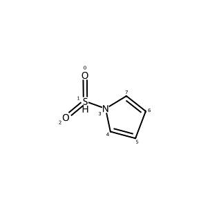 O=[SH](=O)n1cccc1